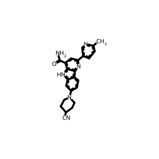 Cc1ccc(-c2cc(C(N)=O)c3[nH]c4cc(N5CCC(C#N)CC5)ccc4c3n2)cn1